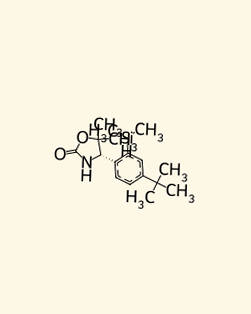 C[SiH](C)c1cc(C(C)(C)C)ccc1[C@@H]1NC(=O)OC1(C)C